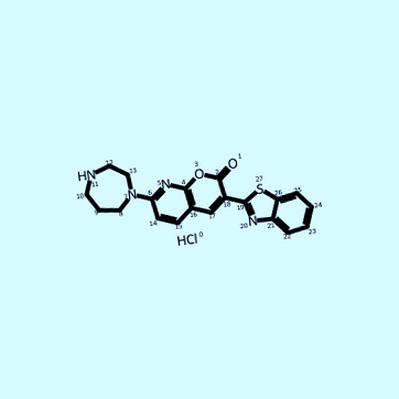 Cl.O=c1oc2nc(N3CCCNCC3)ccc2cc1-c1nc2ccccc2s1